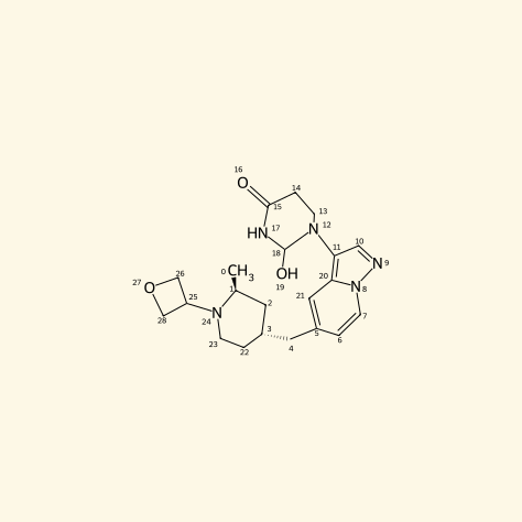 C[C@H]1C[C@H](Cc2ccn3ncc(N4CCC(=O)NC4O)c3c2)CCN1C1COC1